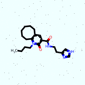 CCCCn1c2c(cc(C(=O)NCCc3c[nH]cn3)c1=O)CCCCCC2